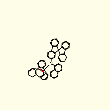 C1=CC2=C(CC1)c1ccccc1C21c2ccccc2-c2ccc(N(c3ccc4c(c3)-c3c5cccc3-c3ccccc3C3=C5CCC=C34)c3cccc4ccccc34)cc21